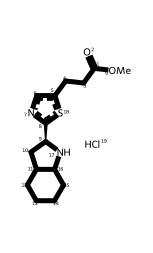 COC(=O)CCc1cnc([C@@H]2CC3CCCCC3N2)s1.Cl